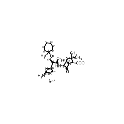 CC1(O/N=C(\C(=O)N[C@H]2C(=O)N3[C@@H]2SC(C)(C)[C@@H]3C(=O)[O-])c2csc(N)n2)CCCCCC1.[Na+]